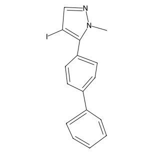 Cn1ncc(I)c1-c1ccc(-c2ccccc2)cc1